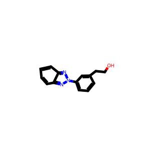 OCCc1cccc(-n2nc3ccccc3n2)c1